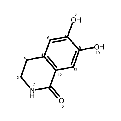 O=C1NCCc2cc(O)c(O)cc21